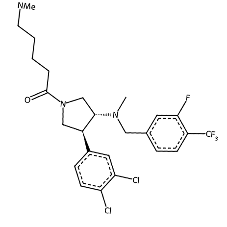 CNCCCCC(=O)N1C[C@H](c2ccc(Cl)c(Cl)c2)[C@@H](N(C)Cc2ccc(C(F)(F)F)c(F)c2)C1